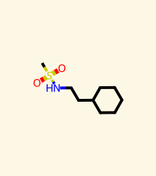 CS(=O)(=O)NCCC1CCCCC1